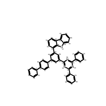 c1ccc(-c2ccc(-c3cc(-c4nc(-c5ccccc5)nc(-c5ccccc5)n4)cc(-c4cccc5c4oc4ccccc45)c3)cc2)cc1